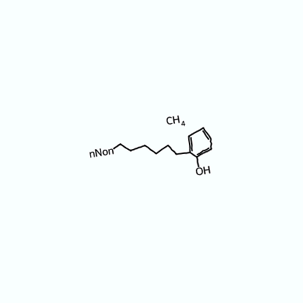 C.CCCCCCCCCCCCCCCc1ccccc1O